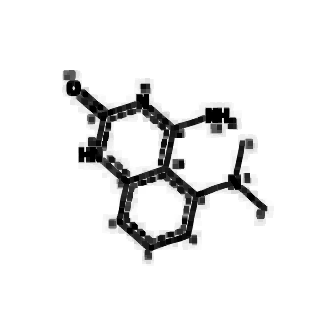 CN(C)c1cccc2[nH]c(=O)nc(N)c12